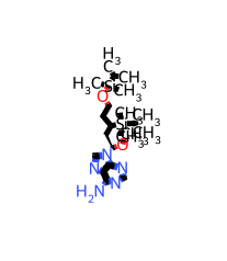 CO[C@H](CC(CCO[Si](C)(C)C(C)C)[Si](C)(C)C(C)C)n1cnc2c(N)ncnc21